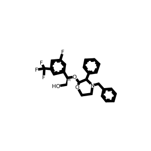 OC[C@H](OC1OCCN(Cc2ccccc2)C1c1ccccc1)c1cc(F)cc(C(F)(F)F)c1